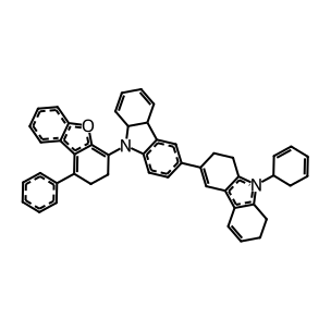 C1=CCC(n2c3c(c4c2CCC(c2ccc5c(c2)C2C=CC=CC2N5C2=c5oc6ccccc6c5=C(c5ccccc5)CC2)=C4)C=CCC3)C=C1